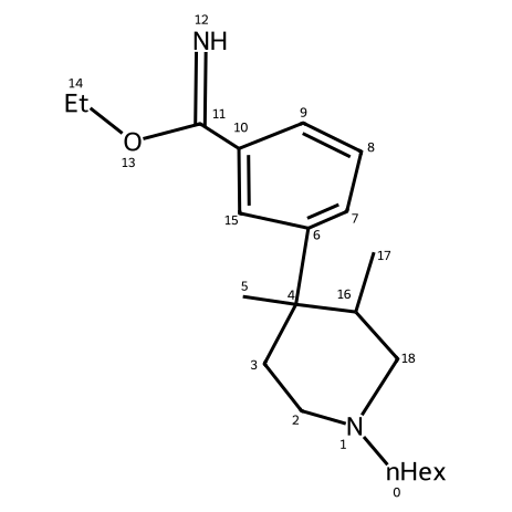 CCCCCCN1CCC(C)(c2cccc(C(=N)OCC)c2)C(C)C1